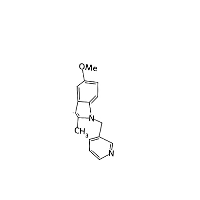 COc1ccc2c([c]c(C)n2Cc2cccnc2)c1